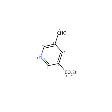 CCOC(=O)c1cncc(C=O)c1